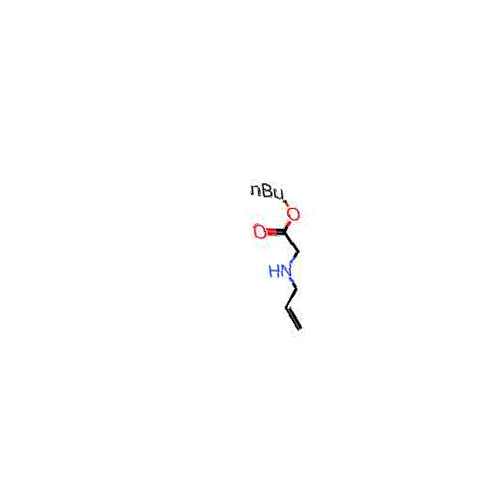 C=CCNCC(=O)OCCCC